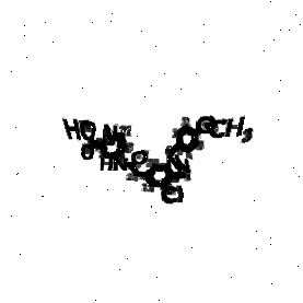 COc1ccc(Cn2ncc3c(Cl)cc(CC(=O)Nc4ccnc(C(=O)O)c4)cc32)cc1